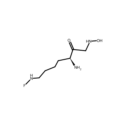 N[C@@H](CCCCNF)C(=O)CNO